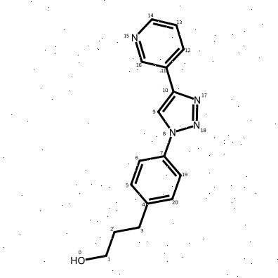 OCCCc1ccc(-n2cc(-c3cccnc3)nn2)cc1